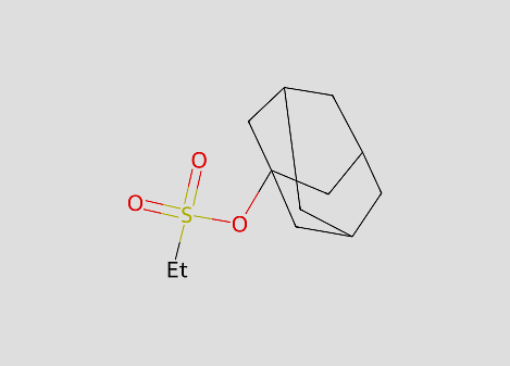 CCS(=O)(=O)OC12CC3CC(CC(C3)C1)C2